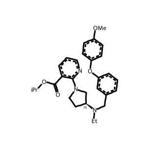 CCN(Cc1cccc(Oc2ccc(OC)cc2)c1)[C@H]1CCN(c2ncccc2C(=O)OC(C)C)C1